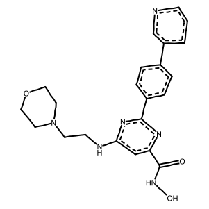 O=C(NO)c1cc(NCCN2CCOCC2)nc(-c2ccc(-c3cccnc3)cc2)n1